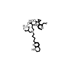 COC(CF)CN(CCCCc1ccc2c(n1)NCCC2)CCC(NC(=O)C1(c2cccnc2CF)CC1)C(=O)O